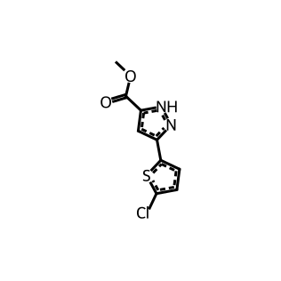 COC(=O)c1cc(-c2ccc(Cl)s2)n[nH]1